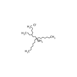 CCCCCCC[N+]([SiH3])(CCCCCCC)CCC(CCC)CCCC.[Cl-]